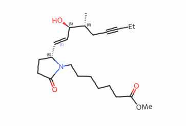 CCC#CC[C@@H](C)[C@H](O)/C=C/[C@H]1CCC(=O)N1CCCCCCC(=O)OC